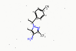 Cc1c(N)c(C(F)(F)F)nn1C(C)c1ccc(C#N)cc1